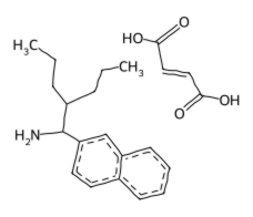 CCCC(CCC)C(N)c1ccc2ccccc2c1.O=C(O)C=CC(=O)O